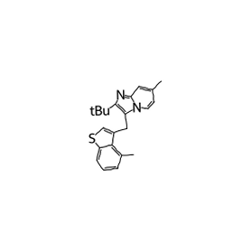 Cc1ccn2c(Cc3csc4cccc(C)c34)c(C(C)(C)C)nc2c1